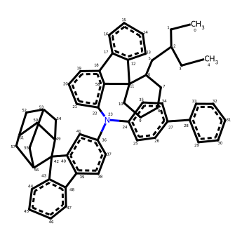 CCC(CC)CC1CCCCC12c1ccccc1-c1cccc(N(c3ccc(-c4ccccc4)cc3)c3ccc4c(c3)C3(c5ccccc5-4)C4CC5CC(C4)CC3C5)c12